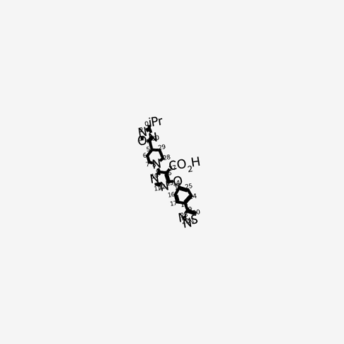 CC(C)c1noc(C2CCN(c3ncnc(Oc4ccc(-c5csnn5)cc4)c3C(=O)O)CC2)n1